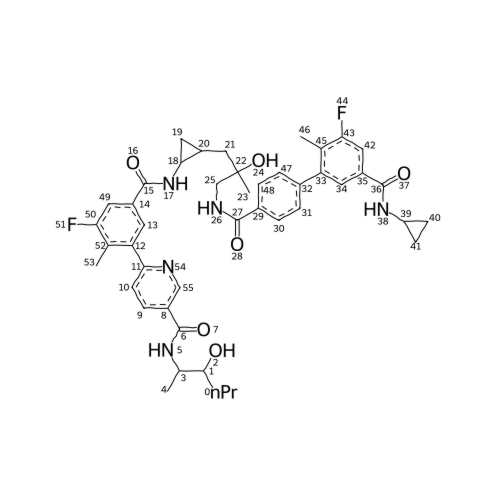 CCCC(O)C(C)NC(=O)c1ccc(-c2cc(C(=O)NC3CC3CC(C)(O)CNC(=O)c3ccc(-c4cc(C(=O)NC5CC5)cc(F)c4C)cc3)cc(F)c2C)nc1